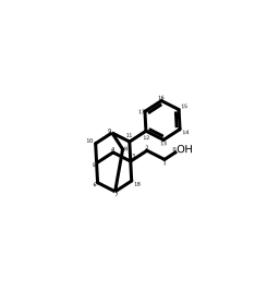 OCCC12CC3CC(CC(C3)C1c1ccccc1)C2